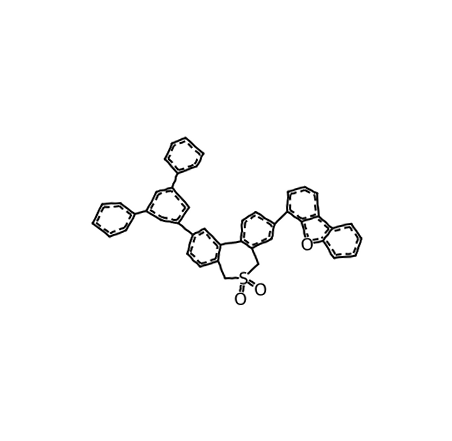 O=S1(=O)Cc2cc(-c3cccc4c3oc3ccccc34)ccc2-c2cc(-c3cc(-c4ccccc4)cc(-c4ccccc4)c3)ccc2C1